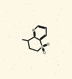 CC1CCS(=O)(=O)c2cccnc21